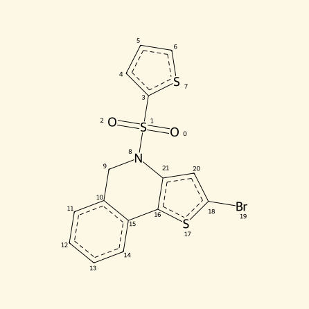 O=S(=O)(c1cccs1)N1Cc2ccccc2-c2sc(Br)cc21